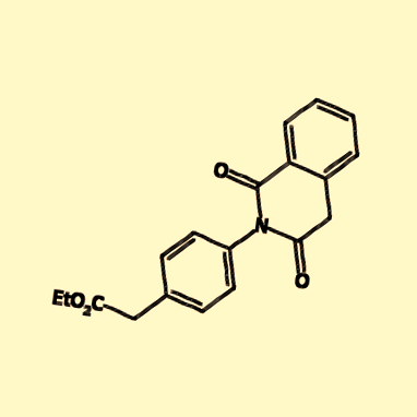 CCOC(=O)Cc1ccc(N2C(=O)Cc3ccccc3C2=O)cc1